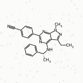 CCc1nn(C)c2nc(-c3ccc(C#N)cc3)nc(N[C@H](C)c3ccccc3)c12